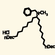 CCCCCCCCCCCCCCCCCCC(CCCCCCCCCCCCCCCCCC)N(C)Cc1ccccc1.Cl